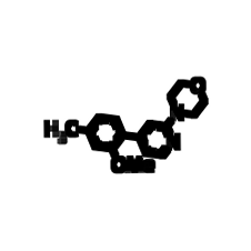 COc1cc(C)ccc1-c1ccnc(N2CCOCC2)c1